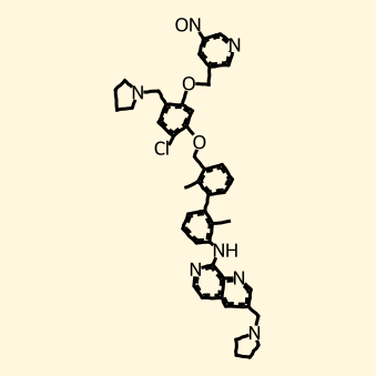 Cc1c(COc2cc(OCc3cncc(N=O)c3)c(CN3CCCC3)cc2Cl)cccc1-c1cccc(Nc2nccc3cc(CN4CCCC4)cnc23)c1C